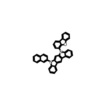 c1ccc2cc(-n3c4ccccc4c4cc5c6ccccc6n(-c6cccc7c6oc6ccccc67)c5cc43)ccc2c1